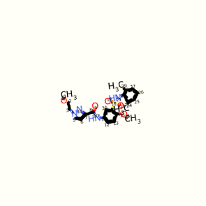 COCCn1ccc(C(=O)Nc2ccc(OC)c(S(=O)(=O)Nc3c(C)cccc3C)c2)n1